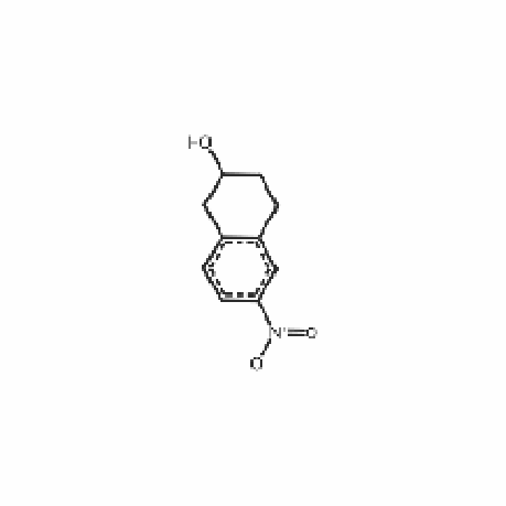 O=[N+]([O-])c1ccc2c(c1)CCC(O)C2